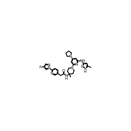 Cc1cc(Nc2cc(N3CCCC3)cc(N3CCC(C)(NC(=O)Cc4ccc(-n5cc(F)cn5)nc4)CC3)n2)n[nH]1